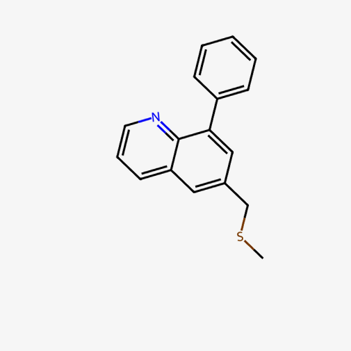 CSCc1cc(-c2ccccc2)c2ncccc2c1